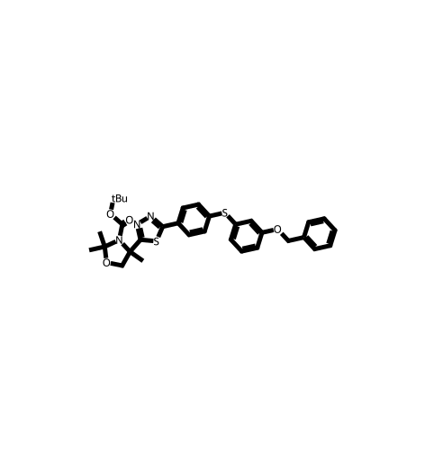 CC(C)(C)OC(=O)N1C(C)(C)OCC1(C)c1nnc(-c2ccc(Sc3cccc(OCc4ccccc4)c3)cc2)s1